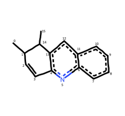 CC1C=Cc2nc3ccccc3cc2C1C